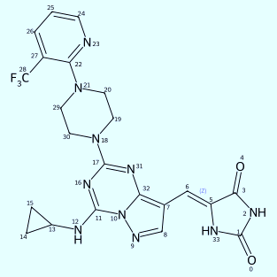 O=C1NC(=O)/C(=C/c2cnn3c(NC4CC4)nc(N4CCN(c5ncccc5C(F)(F)F)CC4)nc23)N1